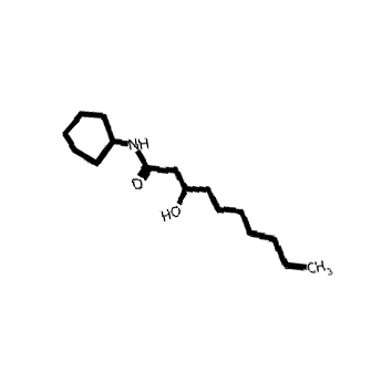 CCCCCCCC(O)CC(=O)NC1CCCCC1